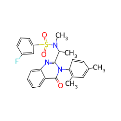 Cc1ccc(-n2c(C(C)N(C)S(=O)(=O)c3cccc(F)c3)nc3ccccc3c2=O)c(C)c1